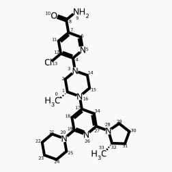 C[C@@H]1CN(c2ncc(C(N)=O)cc2Cl)CCN1c1cc(N2CCCCC2)nc(N2CCC[C@@H]2C)c1